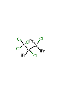 CC(C)[Si](Cl)(C(C)C)[Si](Cl)(C(C)C)[Si](Cl)(Cl)Cl